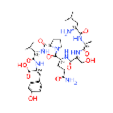 CC(C)C[C@H](N)C(=O)N[C@@H](C)C(=O)N[C@@H](CO)C(=O)N[C@@H](CCC(N)=O)C(=O)N1CCC[C@H]1C(=O)N[C@H](C(=O)N[C@@H](Cc1ccc(O)cc1)C(=O)O)C(C)C